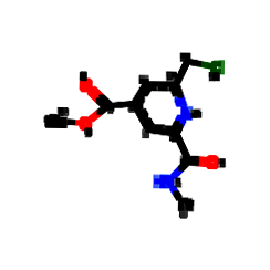 CCNC(=O)c1cc(C(=O)OC(C)(C)C)cc(CCl)n1